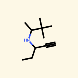 C#CC(CC)NC(C)C(C)(C)C